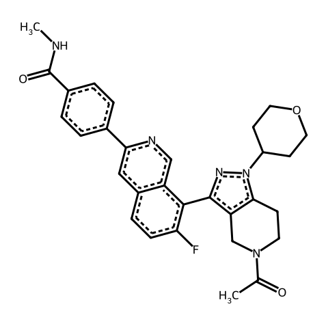 CNC(=O)c1ccc(-c2cc3ccc(F)c(-c4nn(C5CCOCC5)c5c4CN(C(C)=O)CC5)c3cn2)cc1